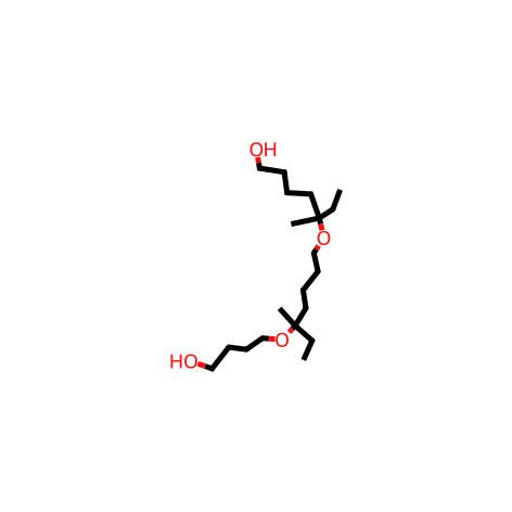 CCC(C)(CCCCO)OCCCCC(C)(CC)OCCCCO